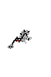 CC(=O)OC[C@H]1O[C@@H](OC(=N)/C(Cc2ccc(/C=C/CCOS(C)(=O)=O)cc2C)=C(\N)C(C)C)[C@H](OC(C)=O)[C@@H](OC(C)=O)[C@@H]1OC(C)=O